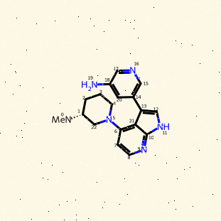 CN[C@@H]1CCCN(c2ccnc3[nH]cc(-c4cncc(N)c4)c23)C1